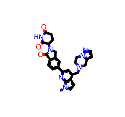 Cn1ccc2c(CN3CCn4nccc4C3)cc(-c3ccc4c(c3)CN(C3CCC(=O)NC3=O)C4=O)nc21